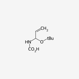 C=CC(NC(=O)O)OC(C)(C)C